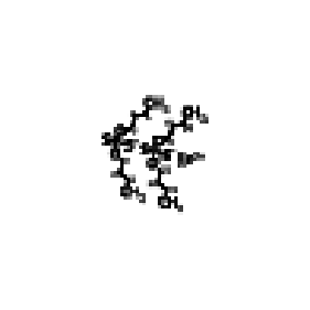 CCCCOP(=S)([S-])OCCCC.CCCCOP(=S)([S-])OCCCC.[Fe+2]